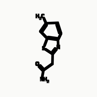 Cc1ccc2nc(CC(N)=O)sc2c1